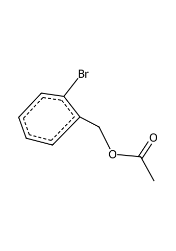 CC(=O)OCc1ccccc1Br